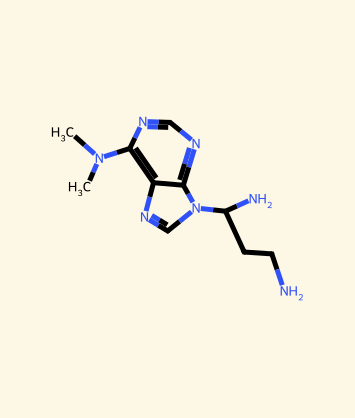 CN(C)c1ncnc2c1ncn2C(N)CCN